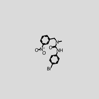 CN(Cc1cccc([N+](=O)[O-])c1)C(=O)Nc1ccc(Br)cc1